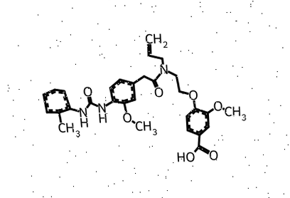 C=CCN(CCOc1ccc(C(=O)O)cc1OC)C(=O)Cc1ccc(NC(=O)Nc2ccccc2C)c(OC)c1